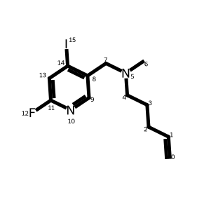 C=CCCCN(C)Cc1cnc(F)cc1I